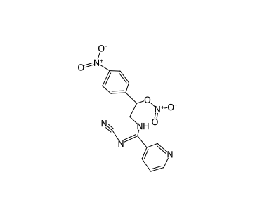 N#CN=C(NCC(O[N+](=O)[O-])c1ccc([N+](=O)[O-])cc1)c1cccnc1